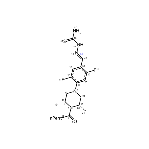 CCCCCC(=O)N1[C@H](C)CN(c2cc(F)c(/C=N/NC(N)=S)cc2F)C[C@@H]1C